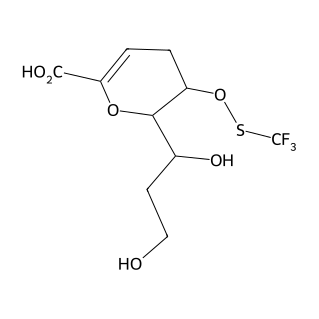 O=C(O)C1=CCC(OSC(F)(F)F)C(C(O)CCO)O1